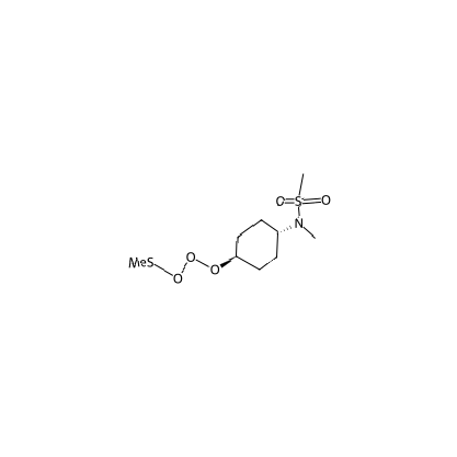 CSOOO[C@H]1CC[C@H](N(C)S(C)(=O)=O)CC1